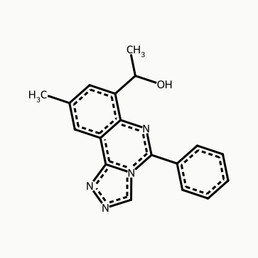 Cc1cc(C(C)O)c2nc(-c3ccccc3)n3cnnc3c2c1